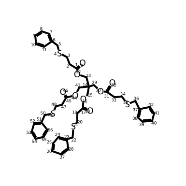 O=C(CCSCc1ccccc1)OCC(COC(=O)CCSCc1ccccc1)(COC(=O)CCSCc1ccccc1)COC(=O)CCSCc1ccccc1